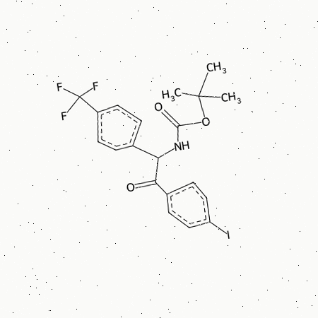 CC(C)(C)OC(=O)NC(C(=O)c1ccc(I)cc1)c1ccc(C(F)(F)F)cc1